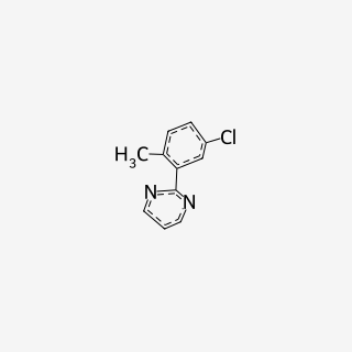 Cc1ccc(Cl)cc1-c1ncccn1